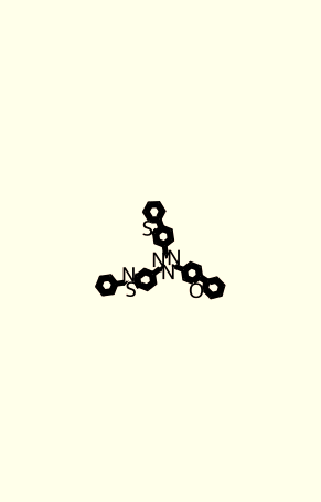 c1ccc(-c2nc3cc(-c4nc(-c5ccc6c(c5)oc5ccccc56)nc(-c5ccc6c(c5)sc5ccccc56)n4)ccc3s2)cc1